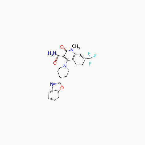 Cn1c(=O)c(C(N)=O)c(N2CCC(c3nc4ccccc4o3)CC2)c2ccc(C(F)(F)F)cc21